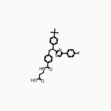 CC(C)(C)c1ccc(C(Cc2ccc(C(=O)NCCC(=O)O)cc2)c2nc(-c3ccc(F)cc3)cs2)cc1